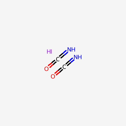 I.N=C=O.N=C=O